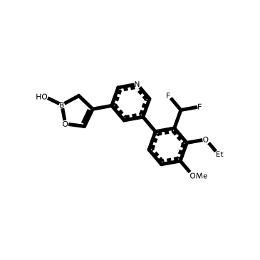 CCOc1c(OC)ccc(-c2cncc(C3=COB(O)C3)c2)c1C(F)F